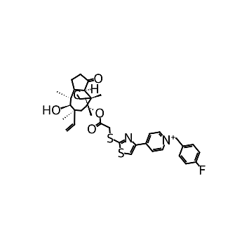 C=C[C@]1(C)C[C@@H](OC(=O)CSc2nc(-c3cc[n+](Cc4ccc(F)cc4)cc3)cs2)[C@]2(C)[C@H](C)CCC3(CCC(=O)[C@H]32)[C@@H](C)[C@@H]1O